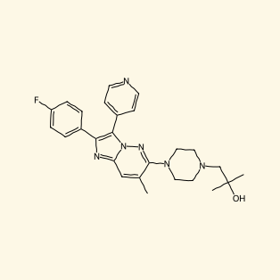 Cc1cc2nc(-c3ccc(F)cc3)c(-c3ccncc3)n2nc1N1CCN(CC(C)(C)O)CC1